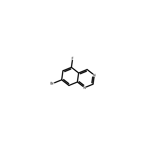 Fc1cc(Br)cc2ncncc12